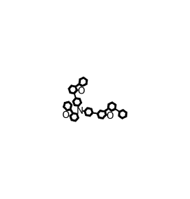 c1ccc(-c2cccc3c2oc2ccc(-c4ccc(N(c5ccc(-c6cccc7c6oc6ccccc67)cc5)c5cccc6oc7ccccc7c56)cc4)cc23)cc1